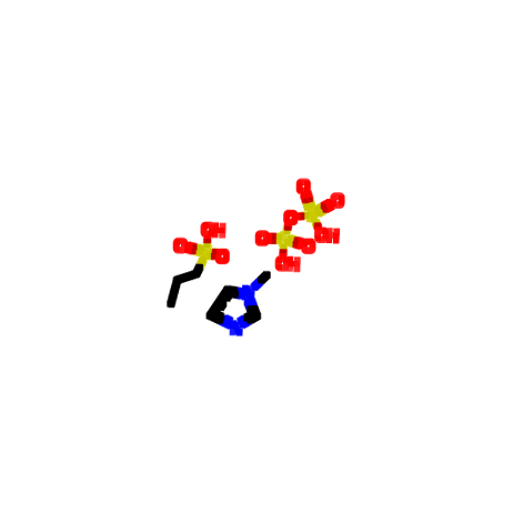 CCCS(=O)(=O)O.Cn1ccnc1.O=S(=O)(O)OS(=O)(=O)O